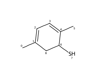 CC1=CC=C(C)C(S)C1